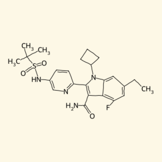 CCc1cc(F)c2c(C(N)=O)c(-c3ccc(NS(=O)(=O)C(C)(C)C)cn3)n(C3CCC3)c2c1